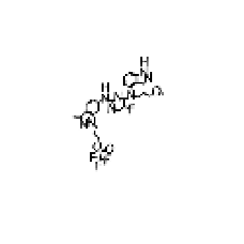 COCCCN(c1nc(Nc2ccc3c(C)nn(CCCOC(=O)C(F)(F)F)c3c2)ncc1F)c1cccc2[nH]ncc12